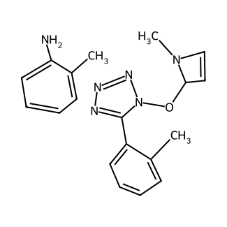 Cc1ccccc1-c1nnnn1OC1C=CN1C.Cc1ccccc1N